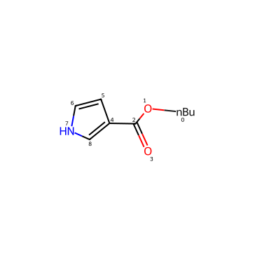 CCCCOC(=O)c1cc[nH]c1